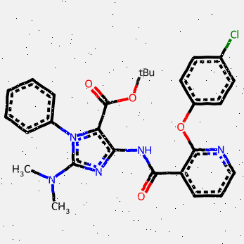 CN(C)c1nc(NC(=O)c2cccnc2Oc2ccc(Cl)cc2)c(C(=O)OC(C)(C)C)n1-c1ccccc1